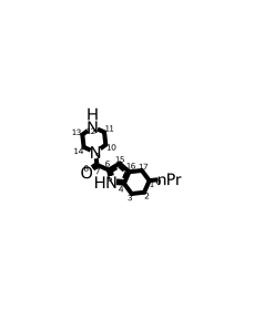 CCCC1CCc2[nH]c(C(=O)N3CCNCC3)cc2C1